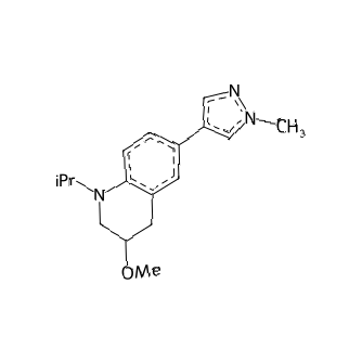 COC1Cc2cc(-c3cnn(C)c3)ccc2N(C(C)C)C1